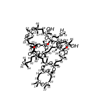 C=C(C)C(=O)OCCC[Si]1(C)O[Si]2(C)CC[Si](C)(C)O[Si](C)(C)CC[Si](C)(O2)O[Si](C)(CC[Si](C)(C)O[Si](C)(C)O[Si](C)(C)CC[Si]2(C)O[Si](C)(C)O[Si](C)(CC[Si](C)(C)O[Si](C)(C)O[Si](C)(C)CC[Si](C)(O)O[Si](C)(CC[SiH2]C)O[SiH2]CC[Si](C)(C)O)O[Si](C)(CC[Si](C)(C)C)O2)O1